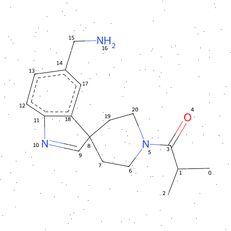 CC(C)C(=O)N1CCC2(C=Nc3ccc(CN)cc32)CC1